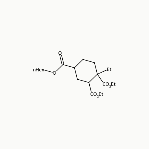 CCCCCCOC(=O)C1CCC(CC)(C(=O)OCC)C(C(=O)OCC)C1